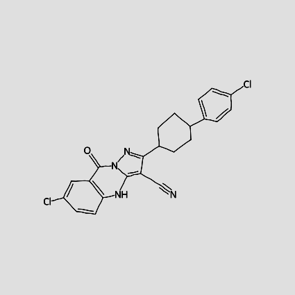 N#Cc1c(C2CCC(c3ccc(Cl)cc3)CC2)nn2c(=O)c3cc(Cl)ccc3[nH]c12